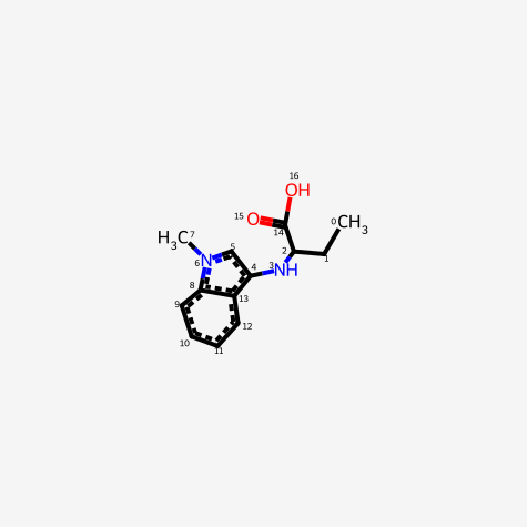 CCC(Nc1cn(C)c2ccccc12)C(=O)O